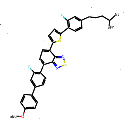 CCCCOc1ccc(-c2ccc(-c3ccc(-c4ccc(-c5ccc(CCCC(CC)CCC)cc5F)s4)c4nsnc34)c(F)c2)cc1